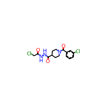 O=C(CCl)NNC(=O)C1CCN(C(=O)c2cccc(Cl)c2)CC1